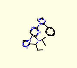 CCC1c2nncn2-c2cnc(-n3ncnc3-c3ccccc3)nc2N1C(C)C